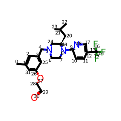 Cc1cc(CN2CCN(c3ccc(C(F)(F)F)cn3)[C@H](CC(C)C)C2)cc(OCC=O)c1